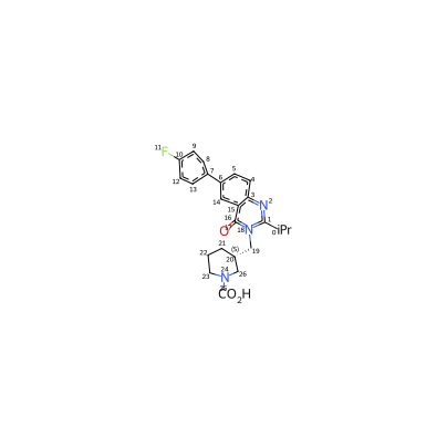 CC(C)c1nc2ccc(-c3ccc(F)cc3)cc2c(=O)n1C[C@H]1CCCN(C(=O)O)C1